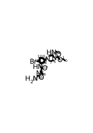 CCOC(=O)N1CCN(c2ccc(Br)c(NC(=O)c3coc(N)n3)c2)CC1NC